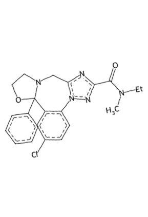 CCN(C)C(=O)c1nc2n(n1)-c1ccc(Cl)cc1C1(c3ccccc3)OCCN1C2